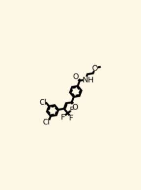 COCCNC(=O)c1ccc(C(=O)C=C(c2cc(Cl)cc(Cl)c2)C(F)(F)F)cc1